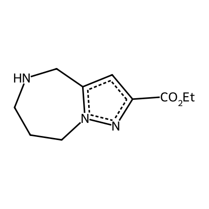 CCOC(=O)c1cc2n(n1)CCCNC2